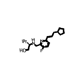 CC(C)[C@H](CO)NCc1nc(C=CCC2CCCC2)ccc1F